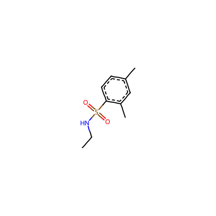 CCNS(=O)(=O)c1ccc(C)cc1C